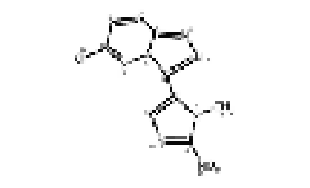 Cn1c(-c2nnc3ccc(Cl)nn23)cnc1[N+](=O)[O-]